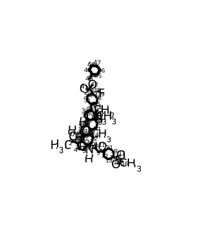 C=C(C)C1CC[C@]2(NCC[C@]3(O)CC[C@H](S(C)(=O)=O)CC3)CC[C@]3(C)[C@H](CC[C@@H]4[C@@]5(C)CC=C(C6=CC[C@](CF)(C(=O)OCc7ccccc7)CC6)C(C)(C)[C@@H]5CC[C@]43C)[C@@H]12